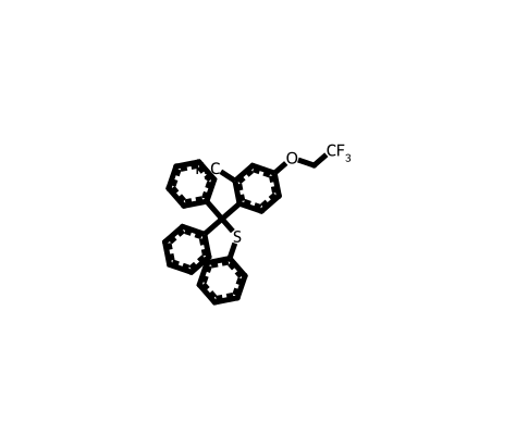 FC(F)(F)COc1ccc(C(Sc2ccccc2)(c2ccccc2)c2ccccc2)c(C(F)(F)F)c1